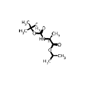 CC(C)OC(=O)[C@H](C)NC(=O)OC(C)(C)C